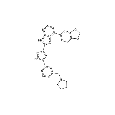 c1cc(-c2ccc3c(c2)OCO3)c2nc(-c3cc(-c4cncc(CN5CCCC5)c4)[nH]n3)[nH]c2n1